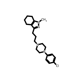 Cn1nc(CCCN2CCN(c3ccc(Cl)cc3)CC2)c2c1CCCC2